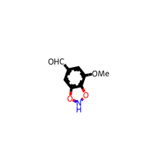 COc1cc(C=O)cc2c1ONO2